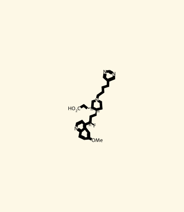 COc1ccc2nccc([C@H](F)CC[C@@H]3CCN(CCCCc4cncnc4)C[C@H]3CCC(=O)O)c2c1